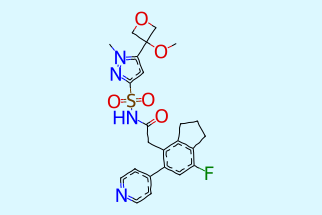 COC1(c2cc(S(=O)(=O)NC(=O)Cc3c(-c4ccncc4)cc(F)c4c3CCC4)nn2C)COC1